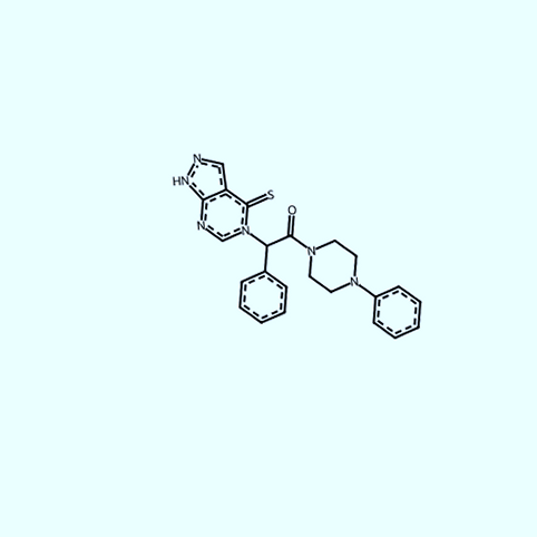 O=C(C(c1ccccc1)n1cnc2[nH]ncc2c1=S)N1CCN(c2ccccc2)CC1